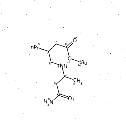 CCCC(CNC(C)CC(N)=O)CC(=O)OC(C)(C)C